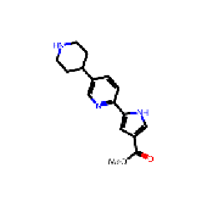 COC(=O)c1c[nH]c(-c2ccc(C3CCNCC3)cn2)c1